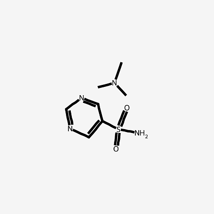 CN(C)C.NS(=O)(=O)c1cncnc1